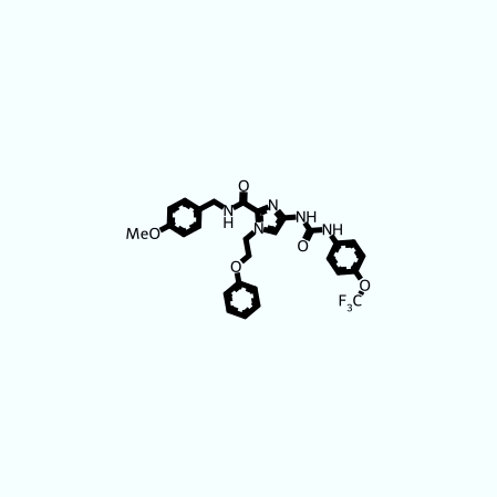 COc1ccc(CNC(=O)c2nc(NC(=O)Nc3ccc(OC(F)(F)F)cc3)cn2CCOc2ccccc2)cc1